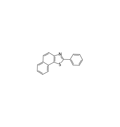 c1ccc(-c2nc3ccc4ccccc4c3s2)cc1